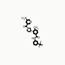 Cc1ccc(C(=O)Nc2cccc(C(F)(F)F)c2)cc1[C@@H]1CCN(C(=O)c2cncc(N)c2)C1